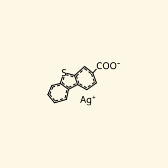 O=C([O-])c1ccc2c(c1)sc1ccccc12.[Ag+]